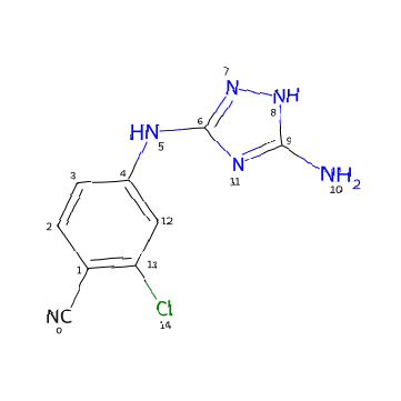 N#Cc1ccc(Nc2n[nH]c(N)n2)cc1Cl